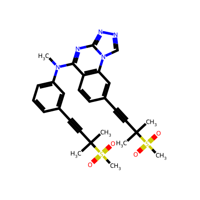 CN(c1cccc(C#CC(C)(C)S(C)(=O)=O)c1)c1nc2nncn2c2cc(C#CC(C)(C)S(C)(=O)=O)ccc12